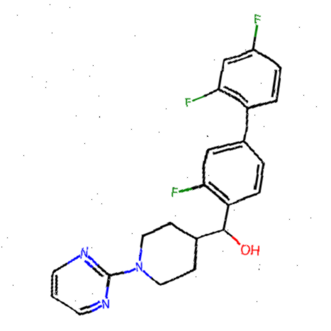 OC(c1ccc(-c2ccc(F)cc2F)cc1F)C1CCN(c2ncccn2)CC1